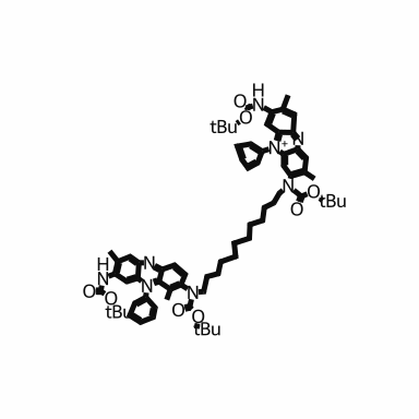 Cc1cc2nc3cc(C)c(N(CCCCCCCCCCCCN(C(=O)OC(C)(C)C)c4ccc5nc6cc(C)c(NC(=O)OC(C)(C)C)cc6[n+](-c6ccccc6)c5c4C)C(=O)OC(C)(C)C)cc3[n+](-c3ccccc3)c2cc1NC(=O)OC(C)(C)C